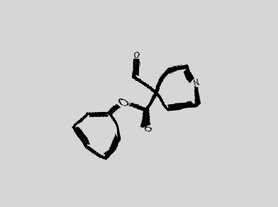 O=CC1(C(=O)Oc2ccccc2)C=CN=CC1